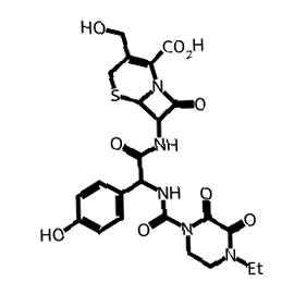 CCN1CCN(C(=O)NC(C(=O)NC2C(=O)N3C(C(=O)O)=C(CO)CSC23)c2ccc(O)cc2)C(=O)C1=O